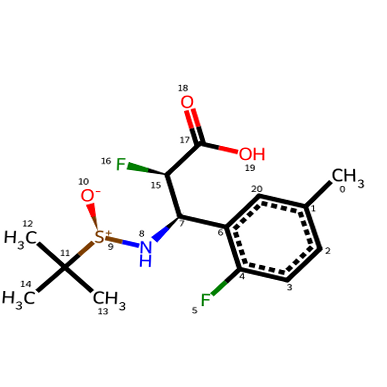 Cc1ccc(F)c([C@@H](N[S@+]([O-])C(C)(C)C)[C@@H](F)C(=O)O)c1